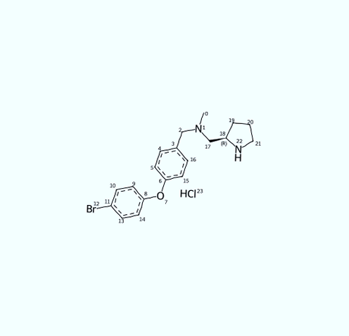 CN(Cc1ccc(Oc2ccc(Br)cc2)cc1)C[C@H]1CCCN1.Cl